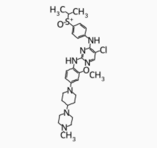 COc1cc(N2CCC(N3CCN(C)CC3)CC2)ccc1Nc1ncc(Cl)c(Nc2ccc([S@+]([O-])C(C)C)cc2)n1